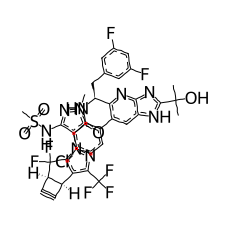 Cn1nc(NS(C)(=O)=O)c2c(Cl)ccc(-c3cc4[nH]c(C(C)(C)O)nc4nc3[C@H](Cc3cc(F)cc(F)c3)NC(=O)Cn3nc(C(F)(F)F)c4c3C(F)(F)[C@@H]3C#C[C@H]43)c21